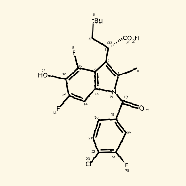 Cc1c([C@H](CC(C)(C)C)C(=O)O)c2c(F)c(O)c(F)cc2n1C(=O)c1ccc(Cl)c(F)c1